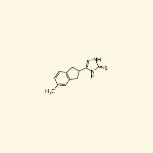 Cc1ccc2c(c1)CC(c1c[nH]c(=S)[nH]1)C2